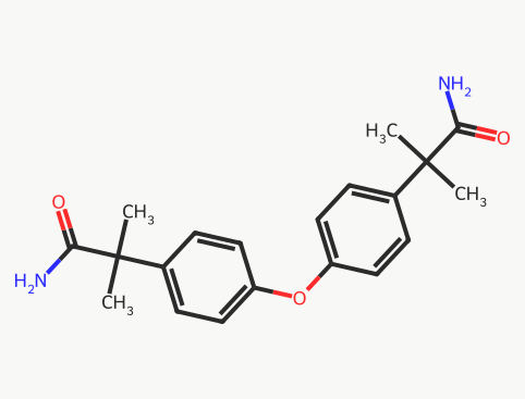 CC(C)(C(N)=O)c1ccc(Oc2ccc(C(C)(C)C(N)=O)cc2)cc1